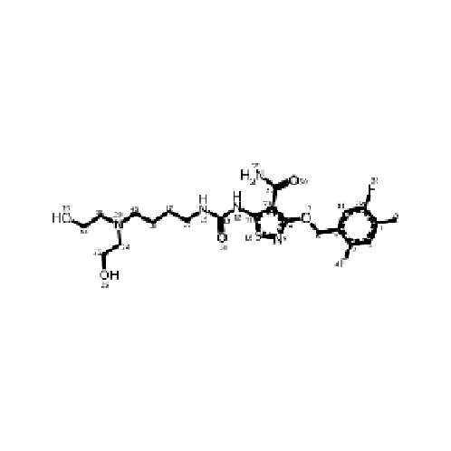 Cc1cc(F)c(COc2nsc(NC(=O)NCCCCN(CCO)CCO)c2C(N)=O)cc1F